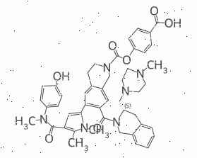 Cc1c(C(=O)N(C)c2ccc(O)cc2)cc(-c2cc3c(cc2C(=O)N2Cc4ccccc4C[C@H]2CN2CCN(C)CC2)CN(C(=O)Oc2ccc(C(=O)O)cc2)CC3)n1C